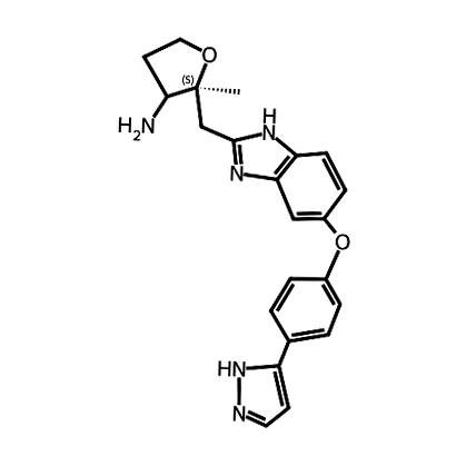 C[C@@]1(Cc2nc3cc(Oc4ccc(-c5ccn[nH]5)cc4)ccc3[nH]2)OCCC1N